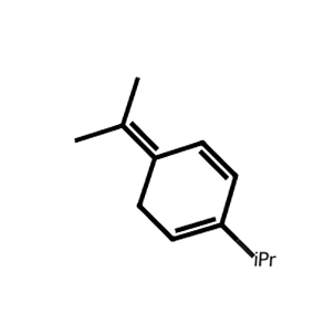 CC(C)=C1C=CC(C(C)C)=CC1